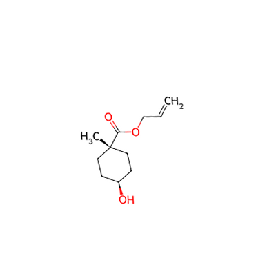 C=CCOC(=O)[C@]1(C)CC[C@@H](O)CC1